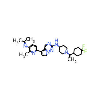 C=C(C1CCC(F)(F)CC1)N1CCC(Nc2ncc3c(-c4ccc(N=C(C)C)c(C)n4)ccn3n2)CC1